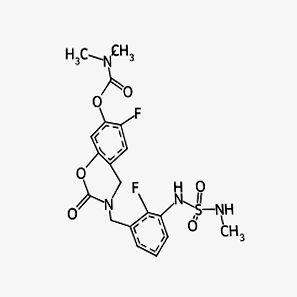 CNS(=O)(=O)Nc1cccc(CN2Cc3cc(F)c(OC(=O)N(C)C)cc3OC2=O)c1F